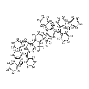 CC1(C)c2cc(N(c3ccccc3)c3cccc4c3oc3ccccc34)c3c(oc4ccccc43)c2-c2ccc3c(c21)C(C)(C)c1cc(N(c2ccccc2)c2cccc4c2oc2ccccc24)c2oc4ccccc4c2c1-3